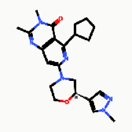 Cc1nc2cc(N3CCO[C@@H](c4cnn(C)c4)C3)nc(C3CCCC3)c2c(=O)n1C